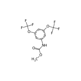 COC(=O)Nc1cc(OC(F)(F)F)cc(OC(F)(F)F)c1